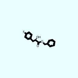 O=C(OCc1ccccc1)[C@H](O)Cc1ccc(F)cc1